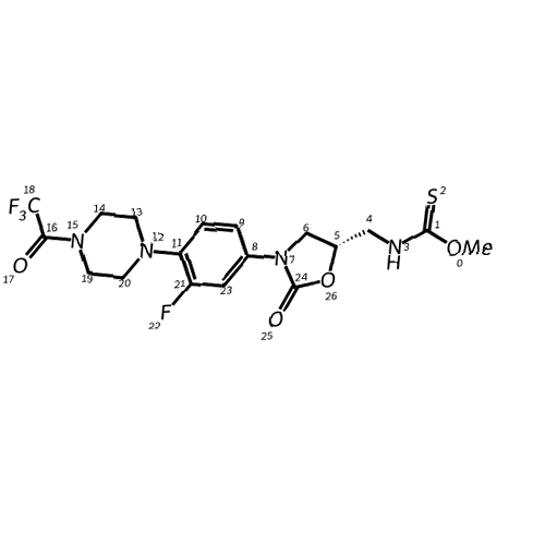 COC(=S)NC[C@H]1CN(c2ccc(N3CCN(C(=O)C(F)(F)F)CC3)c(F)c2)C(=O)O1